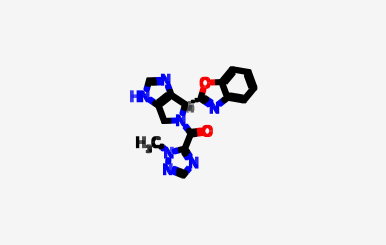 Cn1ncnc1C(=O)N1Cc2[nH]cnc2[C@@H]1c1nc2ccccc2o1